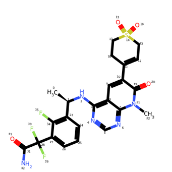 C[C@@H](Nc1ncnc2c1cc(C1=CCS(=O)(=O)CC1)c(=O)n2C)c1cccc(C(F)(F)C(N)=O)c1F